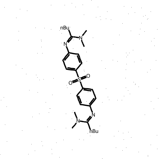 CCCCC(=Nc1ccc(S(=O)(=O)c2ccc(N=C(CCCC)N(C)C)cc2)cc1)N(C)C